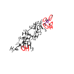 C[C@]12CC[C@@H](OP(=O)(O)O)C[C@@H]1CC[C@@H]1[C@@H]2CC[C@@]2(C)[C@H]1CC[C@@]2(C)O